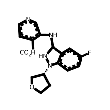 O=C(O)c1ccncc1NC1NN([C@@H]2CCOC2)c2ccc(F)cc21